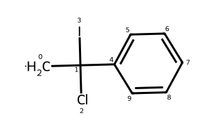 [CH2]C(Cl)(I)c1ccccc1